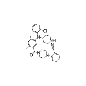 Cc1cc(C)c(N(c2ccccc2Cl)C2CCNCC2)cc1C(=O)N1CCN(c2ccccc2C#N)CC1